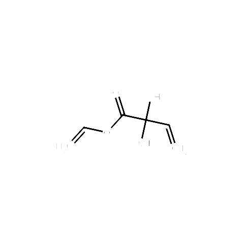 C=COC(=O)C(C)(C)C=C